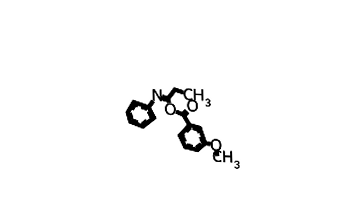 CCC(=Nc1ccccc1)OC(=O)c1cccc(OC)c1